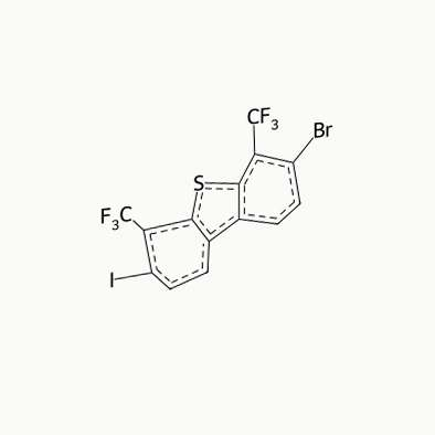 FC(F)(F)c1c(Br)ccc2c1sc1c(C(F)(F)F)c(I)ccc12